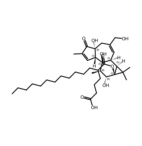 CCCCCCCCCCCCC(CCCC(=O)O)C(=O)O[C@@]12[C@H](O)[C@@H](C)[C@@]3(O)[C@@H](C=C(CO)C[C@]4(O)C(=O)C(C)=C[C@@H]34)[C@H]1C2(C)C